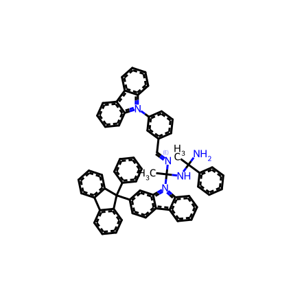 CC(N)(NC(C)(/N=C/c1cccc(-n2c3ccccc3c3ccccc32)c1)n1c2ccccc2c2ccc(C3(c4ccccc4)c4ccccc4-c4ccccc43)cc21)c1ccccc1